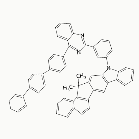 CC1(C)c2cc3c(cc2-c2ccc4ccccc4c21)c1ccccc1n3-c1cccc(-c2nc(-c3ccc(-c4ccc(C5=CCCC=C5)cc4)cc3)c3ccccc3n2)c1